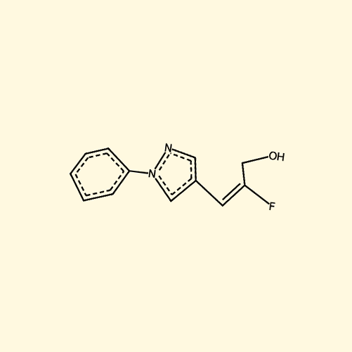 OC/C(F)=C\c1cnn(-c2ccccc2)c1